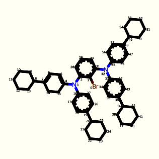 Brc1c(N(C2=CC=C(C3CCCCC3)CC2)c2ccc(C3CCCCC3)cc2)cccc1N(c1ccc(C2CCCCC2)cc1)c1ccc(C2CCCCC2)cc1